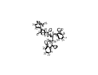 Cc1oc(C(=O)N[C@@H](Cc2ccccc2C(F)(F)F)CN2COc3ccccc3C2=O)cc1-c1ccnn1C